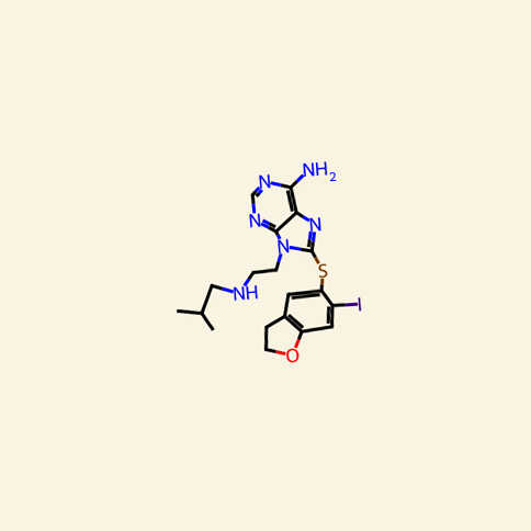 CC(C)CNCCn1c(Sc2cc3c(cc2I)OCC3)nc2c(N)ncnc21